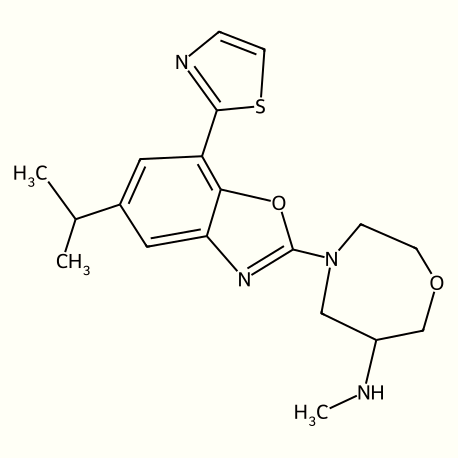 CNC1COCCN(c2nc3cc(C(C)C)cc(-c4nccs4)c3o2)C1